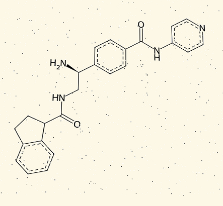 N[C@H](CNC(=O)C1CCc2ccccc21)c1ccc(C(=O)Nc2ccncc2)cc1